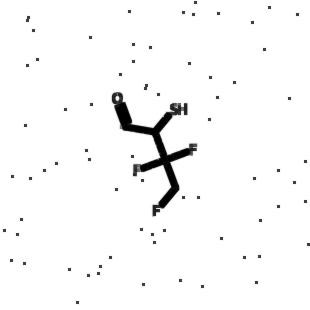 O=[C]C(S)C(F)(F)CF